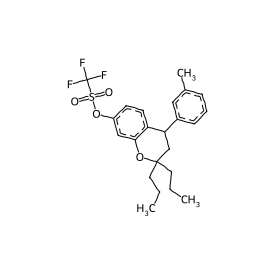 CCCC1(CCC)CC(c2cccc(C)c2)c2ccc(OS(=O)(=O)C(F)(F)F)cc2O1